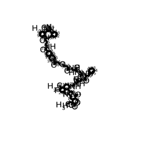 CCC1(O)C(=O)OCc2c1cc1n(c2=O)Cc2c-1nc1cc(F)c(C)c3c1c2C(NCNC(=O)CNC(=O)C(Cc1ccccc1)NC(=O)CNC(=O)CNC(=O)CCOCCC(=O)N1CCC2(CCC(C(=O)NCCC(=O)N4Cc5ccccc5-c5nnn(C)c5-c5ccccc54)CC2)CC1)CC3